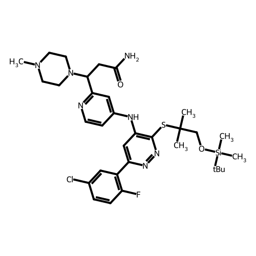 CN1CCN(C(CC(N)=O)c2cc(Nc3cc(-c4cc(Cl)ccc4F)nnc3SC(C)(C)CO[Si](C)(C)C(C)(C)C)ccn2)CC1